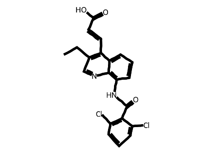 CCc1cnc2c(NC(=O)c3c(Cl)cccc3Cl)cccc2c1/C=C/C(=O)O